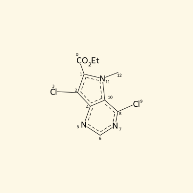 CCOC(=O)c1c(Cl)c2ncnc(Cl)c2n1C